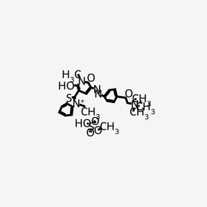 CC[n+]1c(-c2cc(N=Nc3ccc(C(=O)C[N+](C)(C)C)cc3)c(=O)n(C)c2O)sc2ccccc21.COS(=O)(=O)O